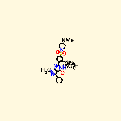 CNC1CCN(S(=O)(=O)c2ccc(-c3nc4c(c(C5CCCCC5)nn4C)c(=O)[nH]3)c(OC)c2)CC1.CS(=O)(=O)O